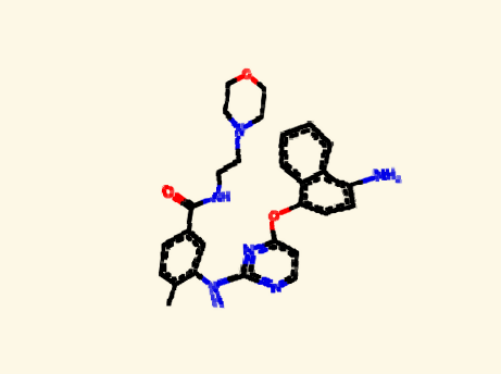 Cc1ccc(C(=O)NCCN2CCOCC2)cc1Nc1nccc(Oc2ccc(N)c3ccccc23)n1